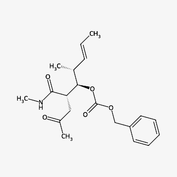 C/C=C/[C@@H](C)[C@@H](OC(=O)OCc1ccccc1)[C@H](CC(C)=O)C(=O)NC